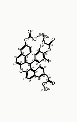 CC(C)(C)OC(=O)Oc1ccc2c3c(ccc2c1)Oc1ccc2cc(OC(=O)OC(C)(C)C)ccc2c1C3c1cc(I)c(OC(=O)OC(C)(C)C)c(I)c1